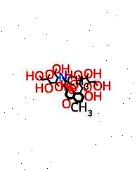 C/C(Cc1cc(=O)c2c(C)cc(O)c(C3OC(CO)C(O)C(O)C3O)c2o1)=N/C1C(O)OC(CO)C(O)C1O